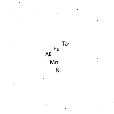 [Al].[Fe].[Mn].[Ni].[Ta]